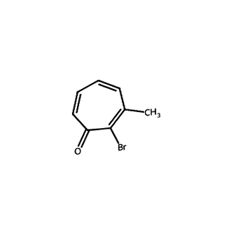 Cc1ccccc(=O)c1Br